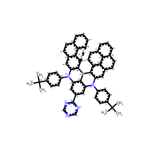 CC(C)(C)c1ccc(N2c3cc(-c4ncncn4)cc4c3B(c3c2cc2ccc5cccc6ccc3c2c56)c2c(cc3ccc5cccc6ccc2c3c56)N4c2ccc(C(C)(C)C)cc2)cc1